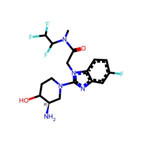 CN(C(=O)Cn1c(N2CCC(O)[C@H](N)C2)nc2cc(F)ccc21)C(F)C(F)F